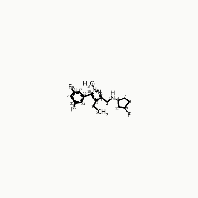 CCc1c(CN[C@H]2CC[C@@H](F)C2)nn(C)c1-c1cc(F)cc(F)c1